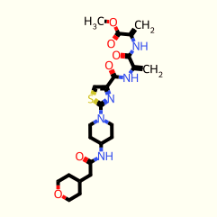 C=C(NC(=O)c1csc(N2CCC(NC(=O)CC3CCOCC3)CC2)n1)C(=O)NC(=C)C(=O)OC